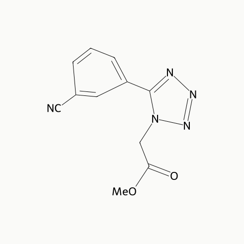 COC(=O)Cn1nnnc1-c1cccc(C#N)c1